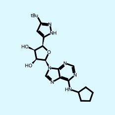 CC(C)(C)c1cc([C@H]2O[C@@H](n3cnc4c(NC5CCCC5)ncnc43)[C@@H](O)[C@H]2O)[nH]n1